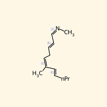 CCC/C=C/C(C)=C\C/C=C/C=N\C